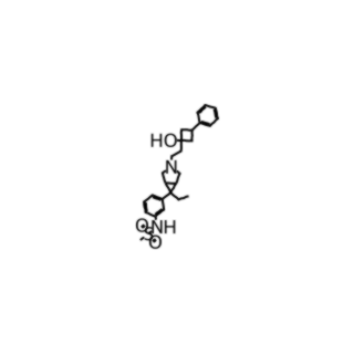 CCC1(c2cccc(NS(C)(=O)=O)c2)C2CN(CCC3(O)CC(c4ccccc4)C3)CC21